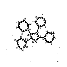 c1ccc(-c2c(-c3cccnc3)sc(-c3cccnc3)c2-c2ccccc2)cc1